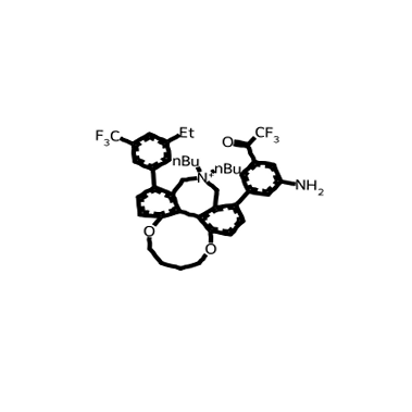 CCCC[N+]1(CCCC)Cc2c(-c3cc(N)cc(C(=O)C(F)(F)F)c3)ccc3c2-c2c(ccc(-c4cc(CC)cc(C(F)(F)F)c4)c2C1)OCCCCO3